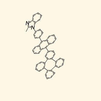 Cc1nc2ccccc2n1-c1ccc(-c2c3ccccc3c(-c3ccc4c(c3)-c3ccccc3-c3ccccc3-c3ccccc3-4)c3ccccc23)cc1